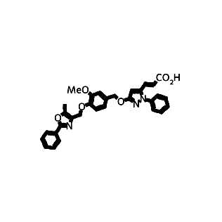 COc1cc(COc2cc(/C=C/C(=O)O)n(-c3ccccc3)n2)ccc1OCc1nc(-c2ccccc2)oc1C